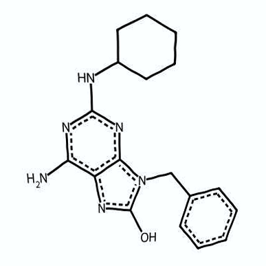 Nc1nc(NC2CCCCC2)nc2c1nc(O)n2Cc1ccccc1